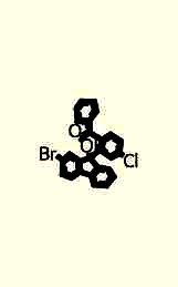 OC1(c2cc(Cl)ccc2-c2coc3ccccc23)c2ccccc2-c2ccc(Br)cc21